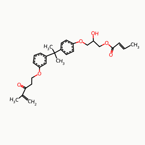 C=C(C)C(=O)CCOc1cccc(C(C)(C)c2ccc(OCC(O)COC(=O)C=CC)cc2)c1